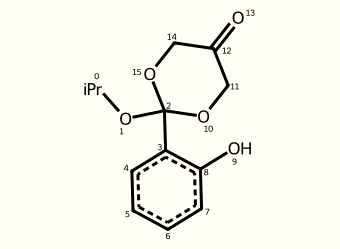 CC(C)OC1(c2ccccc2O)OCC(=O)CO1